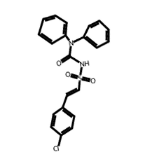 O=C(NS(=O)(=O)C=Cc1ccc(Cl)cc1)N(c1ccccc1)c1ccccc1